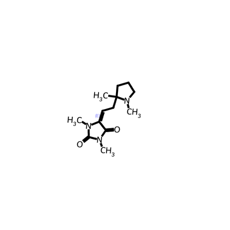 CN1C(=O)/C(=C\CC2(C)CCCN2C)N(C)C1=O